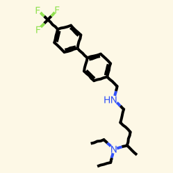 CCN(CC)C(C)CCCNCc1ccc(-c2ccc(C(F)(F)F)cc2)cc1